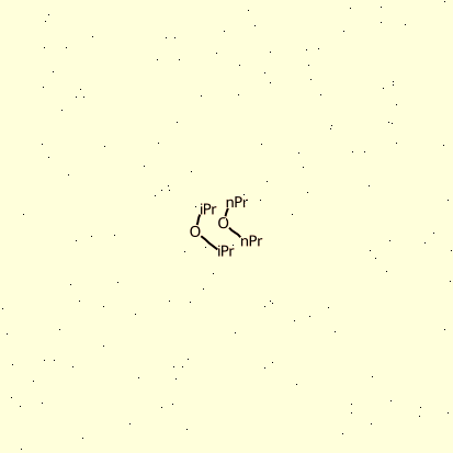 CC(C)OC(C)C.CCCOCCC